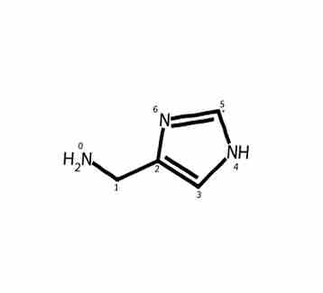 NCc1c[nH][c]n1